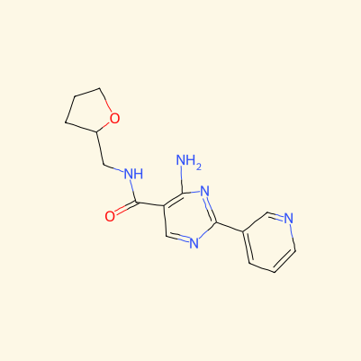 Nc1nc(-c2cccnc2)ncc1C(=O)NCC1CCCO1